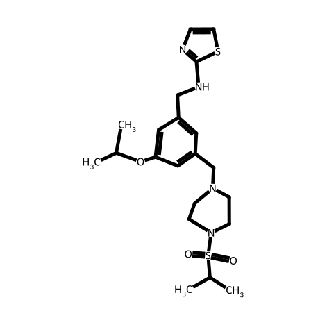 CC(C)Oc1cc(CNc2nccs2)cc(CN2CCN(S(=O)(=O)C(C)C)CC2)c1